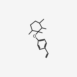 C=Cc1ccc(OC2(C)C(C)CCC(C)C2C)cc1